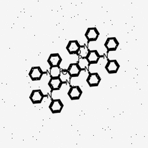 O=P12c3ccccc3N(c3ccccc3)c3cc(N(c4ccccc4)c4ccccc4)cc(c31)N(c1ccccc1)c1cc3c(cc12)P1(=O)c2ccccc2N(c2ccccc2)c2cc(N(c4ccccc4)c4ccccc4)cc(c21)N3c1ccccc1